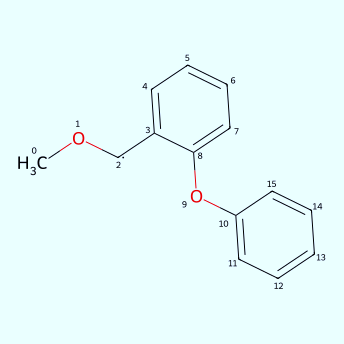 CO[CH]c1ccccc1Oc1ccccc1